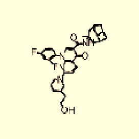 CC1(NC(=O)c2cn(-c3ccc(F)cc3F)c3nc(N4CCCC(CCO)C4)ccc3c2=O)CC2CC3CC(C1)C3C2